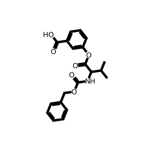 CC(C)C(NC(=O)OCc1ccccc1)C(=O)Oc1cccc(C(=O)O)c1